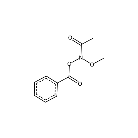 CON(OC(=O)c1ccccc1)C(C)=O